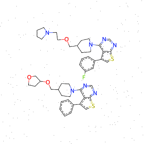 Fc1cccc(-c2csc3ncnc(N4CCC(COCCN5CCCC5)CC4)c23)c1.c1ccc(-c2csc3ncnc(N4CCC(COC5CCOC5)CC4)c23)cc1